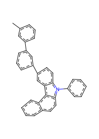 Cc1cccc(-c2cccc(-c3ccc4c(c3)c3c5ccccc5ccc3n4-c3ccccc3)c2)c1